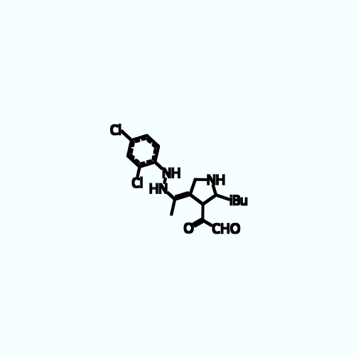 CCC(C)C1NCC(=C(C)NNc2ccc(Cl)cc2Cl)C1C(=O)C=O